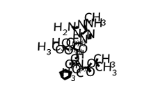 CNc1nc(N)nc2c1ncn2[C@@H]1O[C@H](COP(=O)(N[C@@H](C)C(=O)OC(C)C)Oc2ccccc2)[C@@H](OC(=O)OC)[C@@]1(C)F